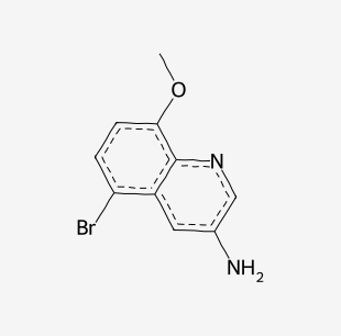 COc1ccc(Br)c2cc(N)cnc12